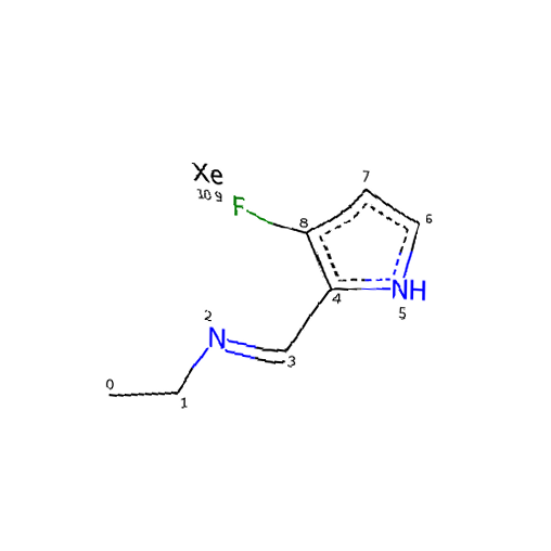 CCN=Cc1[nH]ccc1F.[Xe]